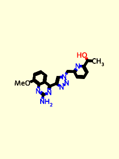 COc1cccc2c(-c3cn(Cc4cccc(C(C)O)n4)nn3)nc(N)nc12